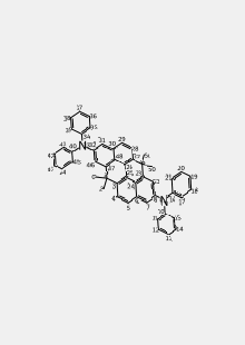 CC1(C)c2ccc3cc(N(c4ccccc4)c4ccccc4)cc4c3c2-c2c(ccc3cc(N(c5ccccc5)c5ccccc5)cc1c23)C4(C)C